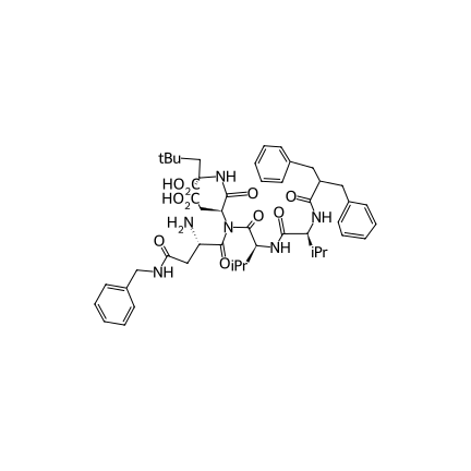 CC(C)[C@H](NC(=O)C(Cc1ccccc1)Cc1ccccc1)C(=O)N[C@H](C(=O)N(C(=O)[C@@H](N)CC(=O)NCc1ccccc1)[C@@H](CC(=O)O)C(=O)N[C@@H](CC(C)(C)C)C(=O)O)C(C)C